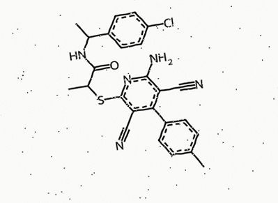 Cc1ccc(-c2c(C#N)c(N)nc(SC(C)C(=O)NC(C)c3ccc(Cl)cc3)c2C#N)cc1